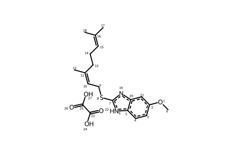 COc1ccc2[nH]c(SCC=C(C)CCC=C(C)C)nc2c1.O=C(O)C(=O)O